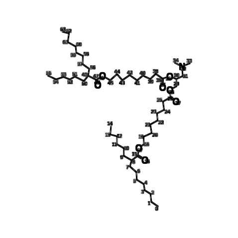 CCCCCCCCC(CCCCCC)C(=O)OCCCCCCCCC(=O)OCC(CN(C)C)OC(=O)CCCCCCCCOC(=O)C(CCCCCC)CCCCCCCC